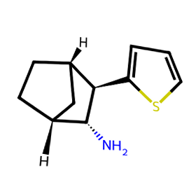 N[C@@H]1[C@@H]2CC[C@@H](C2)[C@H]1c1cccs1